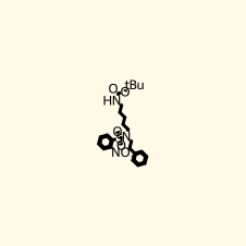 CC(C)(C)OC(=O)NCCCCCN(CCc1ccccc1)S(=O)(=O)c1ccccc1[N+](=O)[O-]